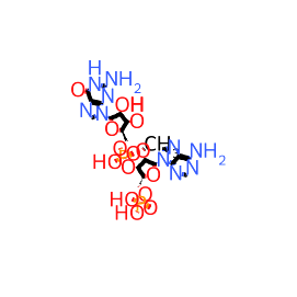 CO[C@H]1[C@@H](OP(=O)(O)OC[C@H]2O[C@@H](n3cnc4c(=O)[nH]c(N)nc43)[C@@H](O)[C@H]2O)[C@@H](COP(=O)(O)O)O[C@H]1n1cnc2c(N)ncnc21